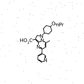 CCCOC1CCC(N2CC(C(=O)O)=C3N=C(c4cccnc4)C=C(C)N32)CC1